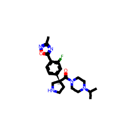 Cc1noc(-c2ccc([C@@]3(C(=O)N4CCN(C(C)C)CC4)CCNC3)cc2F)n1